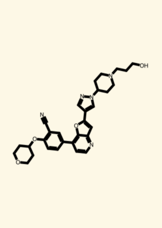 N#Cc1cc(-c2ccnc3cc(-c4cnn(C5CCN(CCCO)CC5)c4)oc23)ccc1OC1CCOCC1